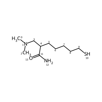 CN(C)CC(CCCCCS)C(N)=O